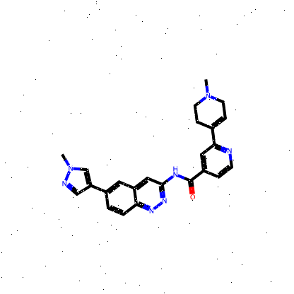 CN1CC=C(c2cc(C(=O)Nc3cc4cc(-c5cnn(C)c5)ccc4nn3)ccn2)CC1